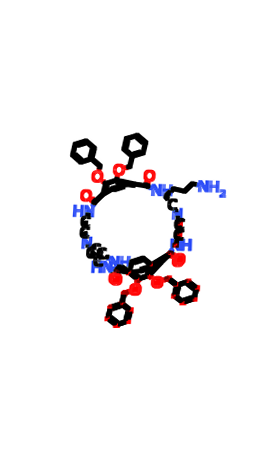 NCCCC1CN2CCNC(=O)c3ccc(c(OCc4ccccc4)c3OCc3ccccc3)C(=O)NCCN(CCNC(=O)c3ccc(c(OCc4ccccc4)c3OCc3ccccc3)C(=O)NCC2)CCNC(=O)c2ccc(c(OCc3ccccc3)c2OCc2ccccc2)C(=O)N1